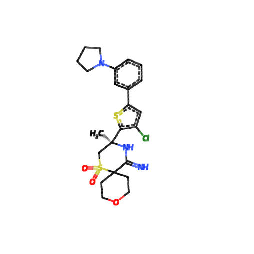 C[C@@]1(c2sc(-c3cccc(N4CCCC4)c3)cc2Cl)CS(=O)(=O)C2(CCOCC2)C(=N)N1